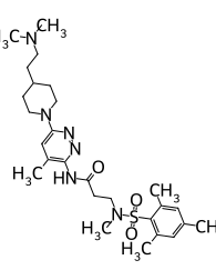 Cc1cc(C)c(S(=O)(=O)N(C)CCC(=O)Nc2nnc(N3CCC(CCN(C)C)CC3)cc2C)c(C)c1